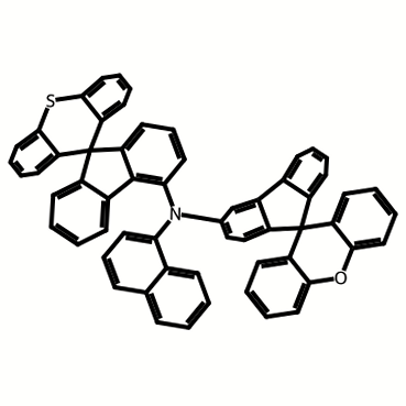 c1ccc2c(c1)Oc1ccccc1C21c2ccccc2-c2cc(N(c3cccc4c3-c3ccccc3C43c4ccccc4Sc4ccccc43)c3cccc4ccccc34)ccc21